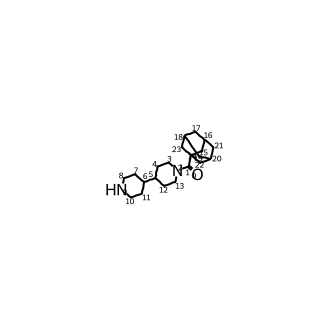 O=C(N1CCC(C2CCNCC2)CC1)C12CC3CC(CC(C3)C1)C2